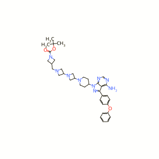 CC(C)(C)OC(=O)N1CC(CN2CC(N3CC(N4CCC(n5nc(-c6ccc(Oc7ccccc7)cc6)c6c(N)ncnc65)CC4)C3)C2)C1